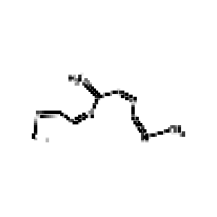 C=C(/C=C\C=N/C)/N=C\C=C/C